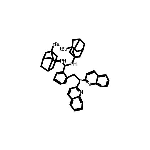 CC(C)(C)C12CC3CC(CC(PC(PC45CC6CC(C4)CC(C(C)(C)C)(C6)C5)c4ccccc4CP(c4ccc5ccccc5n4)c4ccc5ccccc5n4)(C3)C1)C2